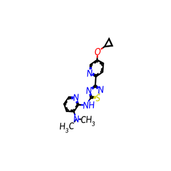 CN(C)c1cccnc1Nc1nc(-c2ccc(OC3CC3)cn2)ns1